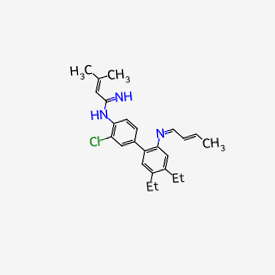 C/C=C/C=N\c1cc(CC)c(CC)cc1-c1ccc(NC(=N)C=C(C)C)c(Cl)c1